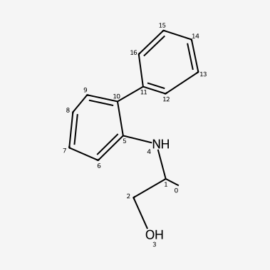 CC(CO)Nc1ccccc1-c1ccccc1